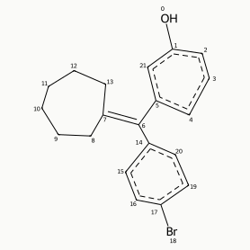 Oc1cccc(C(=C2CCCCCC2)c2ccc(Br)cc2)c1